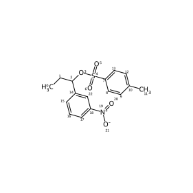 CCC(OS(=O)(=O)c1ccc(C)cc1)c1cccc([N+](=O)[O-])c1